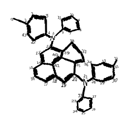 Cc1ccc(N(c2ccccc2)c2cc3cccc4cc(N(c5ccccc5)c5ccc(C)cc5)c5cccc2c5c34)cc1